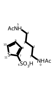 CC(=O)NCCCCNC(C)=O.O=S(=O)(O)c1cccs1